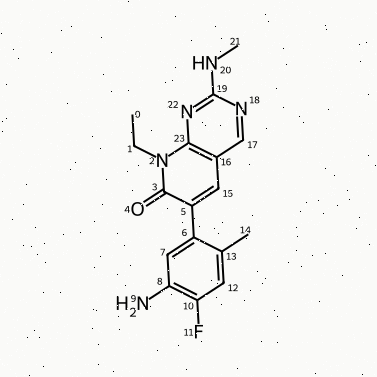 CCn1c(=O)c(-c2cc(N)c(F)cc2C)cc2cnc(NC)nc21